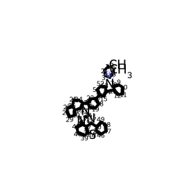 C#C/C=C\C(=C/C)n1c2ccccc2c2cc(-c3ccc4c(c3)c3ccc5ccccc5c3n4-c3nc4c5c(cccc5n3)Sc3ccccc3-4)ccc21